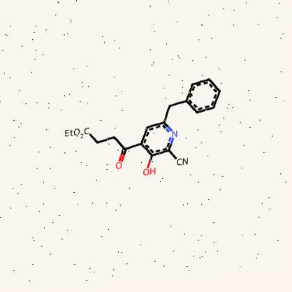 CCOC(=O)CCC(=O)c1cc(Cc2ccccc2)nc(C#N)c1O